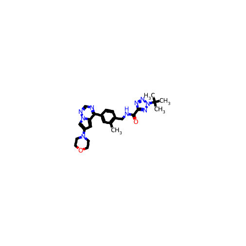 Cc1cc(-c2ncnn3cc(N4CCOCC4)cc23)ccc1CNC(=O)c1nnn(C(C)(C)C)n1